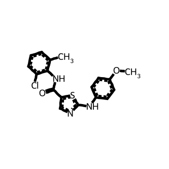 COc1ccc(Nc2ncc(C(=O)Nc3c(C)cccc3Cl)s2)cc1